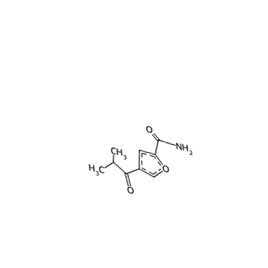 CC(C)C(=O)c1coc(C(N)=O)c1